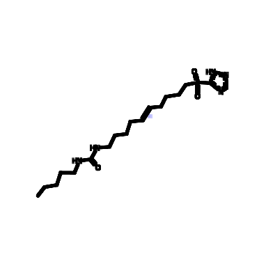 CCCCCNC(=O)NCCCC/C=C/CCCCS(=O)(=O)c1ncn[nH]1